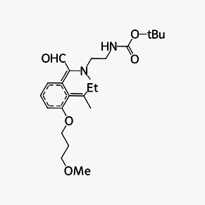 CC/C(C)=c1/c(OCCCOC)ccc/c1=C(\C=O)N(C)CCNC(=O)OC(C)(C)C